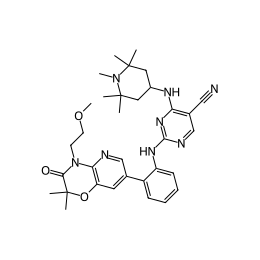 COCCN1C(=O)C(C)(C)Oc2cc(-c3ccccc3Nc3ncc(C#N)c(NC4CC(C)(C)N(C)C(C)(C)C4)n3)cnc21